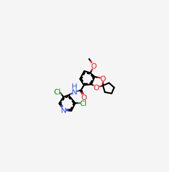 COc1ccc(C(=O)Nc2c(Cl)cncc2Cl)c2c1OC1(CCCC1)O2